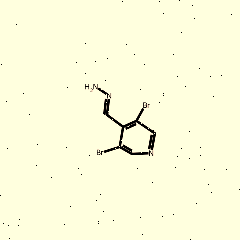 N/N=C/c1c(Br)cncc1Br